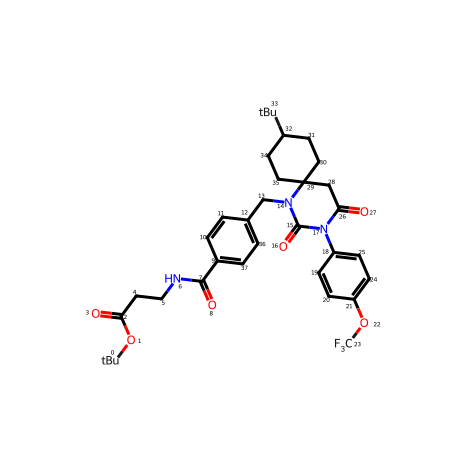 CC(C)(C)OC(=O)CCNC(=O)c1ccc(CN2C(=O)N(c3ccc(OC(F)(F)F)cc3)C(=O)CC23CCC(C(C)(C)C)CC3)cc1